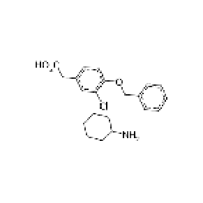 NC1CCCCC1.O=C(O)Cc1ccc(OCc2ccccc2)c(Cl)c1